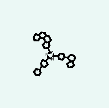 c1ccc(-c2ccc(-c3nc(-c4ccc(-c5cccc6ccccc56)cc4)nc(-c4ccc5c(ccc6ccc7ccccc7c65)c4)n3)cc2)cc1